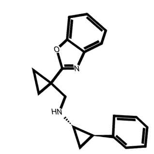 c1ccc([C@H]2C[C@@H]2NCC2(c3nc4ccccc4o3)CC2)cc1